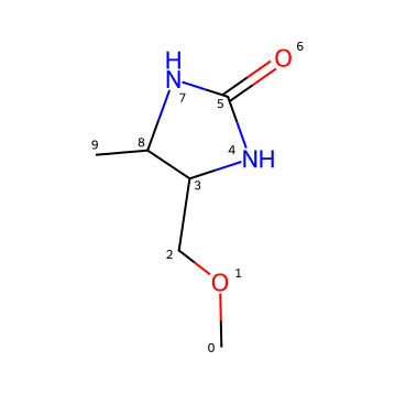 COCC1NC(=O)NC1C